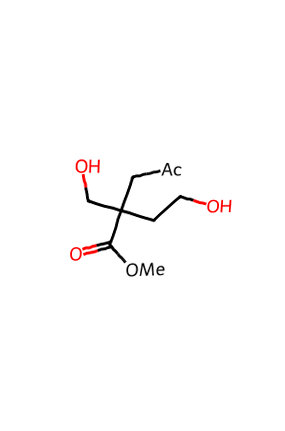 COC(=O)C(CO)(CCO)CC(C)=O